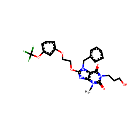 Cn1c(=O)n(CCCO)c(=O)c2c1nc(OCCOc1cccc(OC(F)(F)F)c1)n2Cc1ccccc1